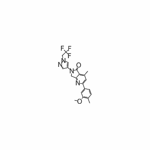 COc1cc(-c2cc(C)c3c(n2)CN(c2cnn(CC(F)(F)F)c2)C3=O)ccc1C